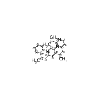 CC(C)c1nccc(CC(C)c2ccnc(CC(C)c3ccccn3)c2)n1